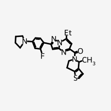 CCc1cc(C(=O)N2CCc3sccc3C2C)nc2cc(-c3ccc(N4CCCC4)cc3F)nn12